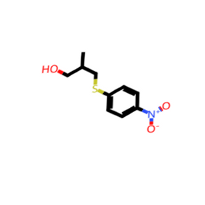 CC(CO)CSc1ccc([N+](=O)[O-])cc1